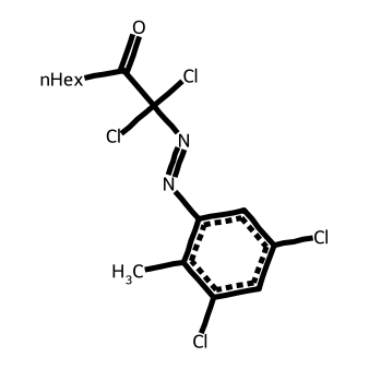 CCCCCCC(=O)C(Cl)(Cl)N=Nc1cc(Cl)cc(Cl)c1C